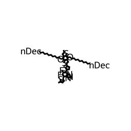 CCCCCCCCCCCCCCCCCCCCOc1c2cc(-c3ccc(-c4c(F)c(F)c(-c5ccc(C)s5)c5nn(C)nc45)s3)sc2c(OCCCCCCCCCCCCCCCCCCCC)c2cc(C)sc12